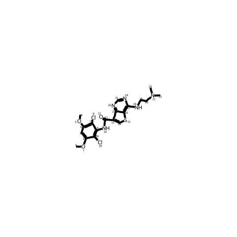 COc1cc(OC)c(Cl)c(NC(=O)c2csc3c(NCCN(C)C)ncnc23)c1Cl